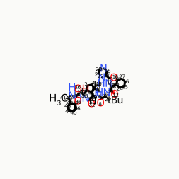 CCC12CC[C@H]3CN(C(=O)[C@@H](NC(=O)[C@@H](NC(=O)c4cnccn4)C4CCCCC4)C(C)(C)C)[C@H](C(=O)N[C@@H]1C(O)C(=O)N[C@@H](C)c1ccccc1)C32